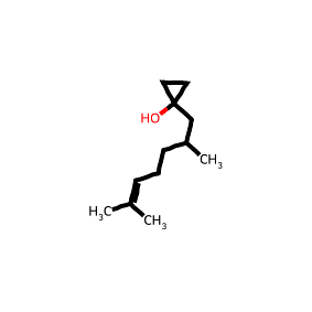 CC(C)=CCCC(C)CC1(O)CC1